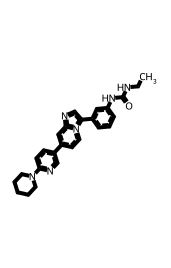 CCNC(=O)Nc1cccc(-c2cnc3cc(-c4ccc(N5CCCCC5)nc4)ccn23)c1